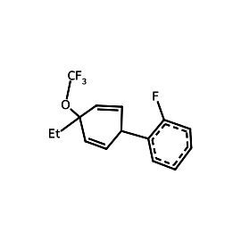 CCC1(OC(F)(F)F)C=CC(c2ccccc2F)C=C1